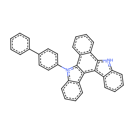 c1ccc(-c2ccc(-n3c4ccccc4c4c5c6ccccc6[nH]c5c5ccccc5c43)cc2)cc1